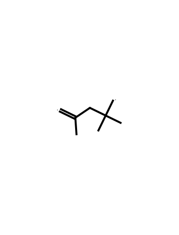 [CH]=C(C)CC([CH2])(C)C